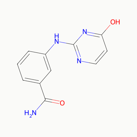 NC(=O)c1cccc(Nc2nccc(O)n2)c1